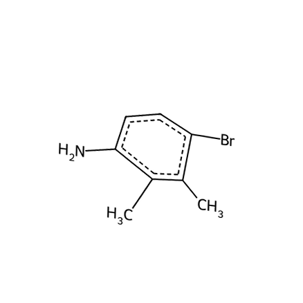 Cc1c(N)ccc(Br)c1C